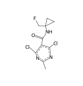 Cc1nc(Cl)c(C(=O)NC2(CF)CC2)c(Cl)n1